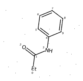 [CH2]CC(=O)Nc1ccccc1